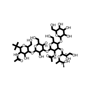 CC(=O)NC1C(OC2C(O)C(CO)OC(OC3C(CO)OC(C(C)(C)C)C(NC(C)=O)C3O)C2O)OC(CO)C(OC2OC(CO)C(O)C(O)C2O)C1OC(OC(C)[C@H](C)O)[C@H](O)CO